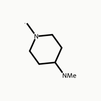 [CH2]N1CCC(NC)CC1